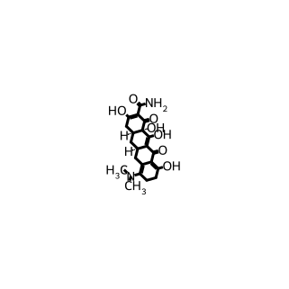 CN(C)C1=C2C[C@H]3C[C@H]4CC(O)=C(C(N)=O)C(=O)[C@@]4(O)C(O)=C3C(=O)C2=C(O)CC1